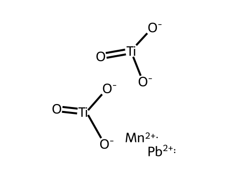 [Mn+2].[O]=[Ti]([O-])[O-].[O]=[Ti]([O-])[O-].[Pb+2]